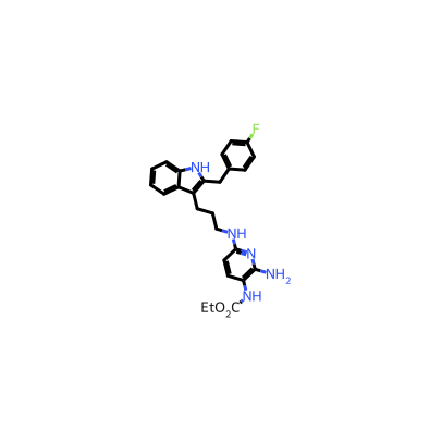 CCOC(=O)Nc1ccc(NCCCc2c(Cc3ccc(F)cc3)[nH]c3ccccc23)nc1N